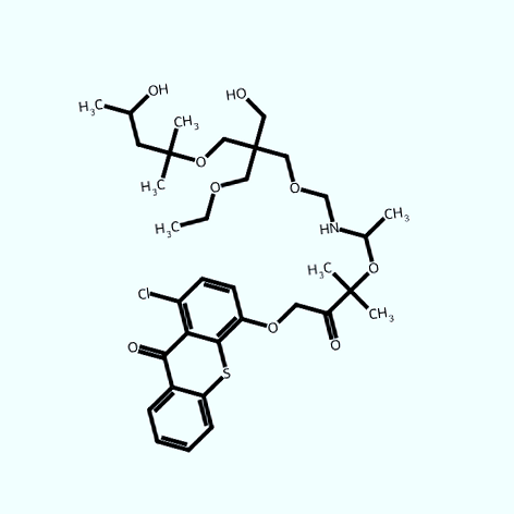 CCOCC(CO)(COCNC(C)OC(C)(C)C(=O)COc1ccc(Cl)c2c(=O)c3ccccc3sc12)COC(C)(C)CC(C)O